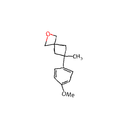 COc1ccc(C2(C)CC3(COC3)C2)cc1